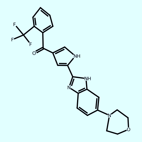 O=C(c1c[nH]c(-c2nc3ccc(N4CCOCC4)cc3[nH]2)c1)c1ccccc1C(F)(F)F